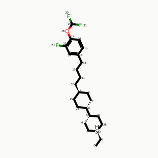 CC[Si@H]1CC[C@H]([C@H]2CC[C@H](CCCCc3ccc(OC(F)F)c(F)c3)CC2)CC1